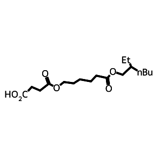 CCCCC(CC)COC(=O)CCCCCOC(=O)CCC(=O)O